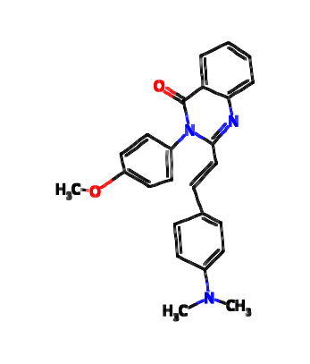 COc1ccc(-n2c(C=Cc3ccc(N(C)C)cc3)nc3ccccc3c2=O)cc1